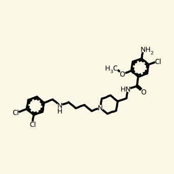 COc1cc(N)c(Cl)cc1C(=O)NCC1CCN(CCCCNCc2ccc(Cl)c(Cl)c2)CC1